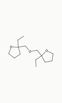 CCC1(COCC2(CC)CCCO2)CCCO1